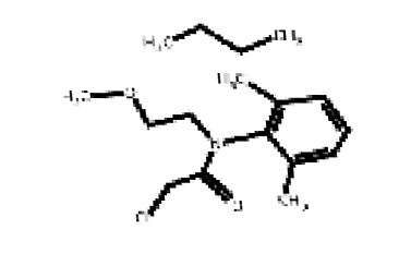 CCCC.COCCN(C(=O)CCl)c1c(C)cccc1C